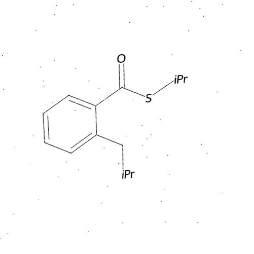 CC(C)Cc1ccccc1C(=O)SC(C)C